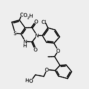 CC(Oc1ccc(Cl)c(-n2c(=O)[nH]c3scc(C(=O)O)c3c2=O)c1)c1ccccc1OCCO